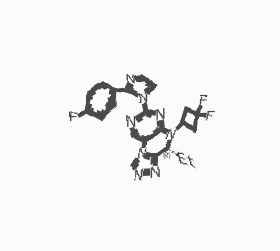 CC[C@@H]1c2nncn2-c2cnc(-n3ccnc3-c3ccc(F)cc3)nc2N1C1CC(F)(F)C1